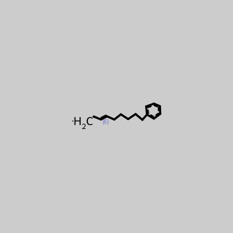 [CH2]C/C=C/CCCCCc1ccccc1